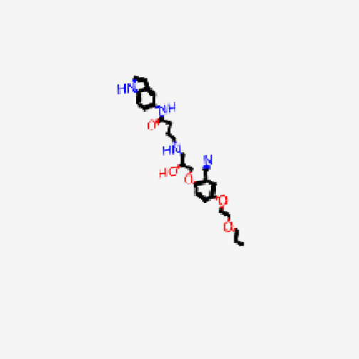 CCCOCCOc1ccc(OCC(O)CNCCCC(=O)Nc2ccc3[nH]ccc3c2)c(C#N)c1